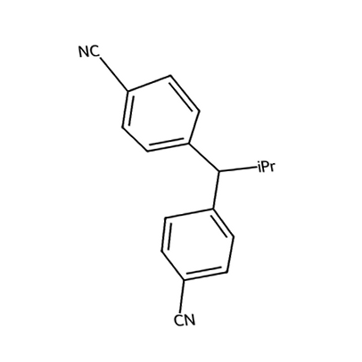 CC(C)C(c1ccc(C#N)cc1)c1ccc(C#N)cc1